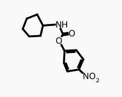 O=C(NC1CCCCC1)Oc1ccc([N+](=O)[O-])cc1